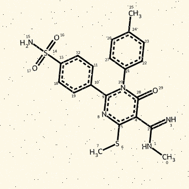 CNC(=N)c1c(SC)nc(-c2ccc(S(N)(=O)=O)cc2)n(-c2ccc(C)cc2)c1=O